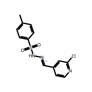 Cc1ccc(S(=O)(=O)N/N=C/c2ccnc(Cl)c2)cc1